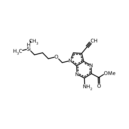 C#Cc1cn(COCCC[SiH](C)C)c2nc(N)c(C(=O)OC)nc12